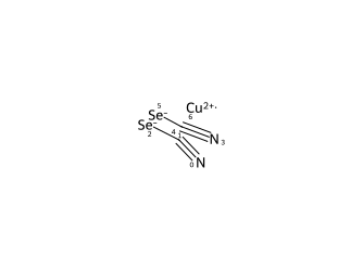 N#C[Se-].N#C[Se-].[Cu+2]